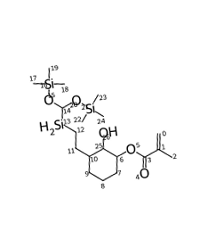 C=C(C)C(=O)OC1CCCC(CC[SiH2]C(O[Si](C)(C)C)O[Si](C)(C)C)C1O